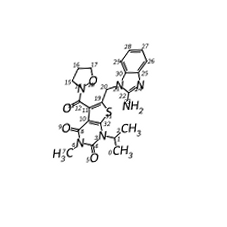 CC(C)n1c(=O)n(C)c(=O)c2c(C(=O)N3CCCO3)c(Cn3c(N)nc4ccccc43)sc21